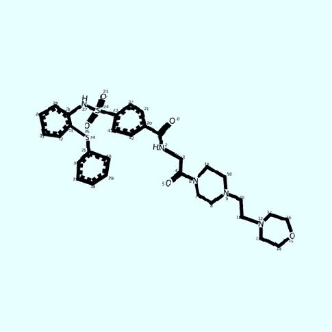 O=C(NCC(=O)N1CCN(CCN2CCOCC2)CC1)c1ccc(S(=O)(=O)Nc2ccccc2Sc2ccccc2)cc1